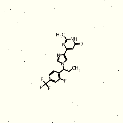 CCC(c1ccc(C(F)(F)F)cc1F)n1cnc(-c2cc(=O)[nH]c(C)n2)c1